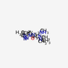 CNCc1nc(N(C)C(C)C)cc2c1CN(c1cccc(-c3nnc4n3C(C)(C)CC4)n1)C2=O